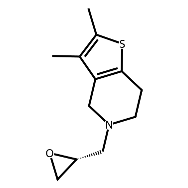 Cc1sc2c(c1C)CN(C[C@@H]1CO1)CC2